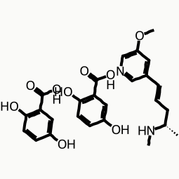 CN[C@@H](C)C/C=C/c1cncc(OC)c1.O=C(O)c1cc(O)ccc1O.O=C(O)c1cc(O)ccc1O